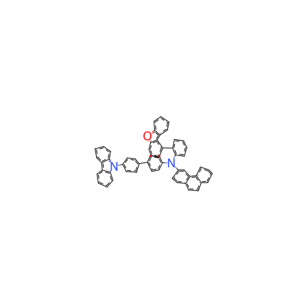 c1ccc(N(c2ccc(-c3ccc(-n4c5ccccc5c5ccccc54)cc3)cc2)c2ccc3ccc4ccccc4c3c2)c(-c2cccc3oc4ccccc4c23)c1